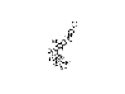 CCc1c2c(nc3ccc(OC(=O)N4CCC(N5CCCCC5)CC4)cc13)-c1cc3c(c(=O)n1C2)COC(=O)[C@@]3(CC)OC(=O)C(NS)C(C)C